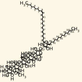 CCCCCCCC/C=C\CCCCCCCCCCCCCC(=O)N[C@@H](CO[C@@H]1OC(CO)[C@@H](O[C@@H]2OC(CO)[C@H](O)[C@H](O[C@H]3OC(CO)[C@H](O)[C@H](O[C@@H]4OC(CO)[C@@H](O)[C@H](O[C@H]5OC(C)[C@@H](O)C(O)[C@@H]5O)C4NC(C)=O)C3O)C2O)[C@H](O)C1O)[C@H](O)/C=C/CCCCCCCCCCCCC